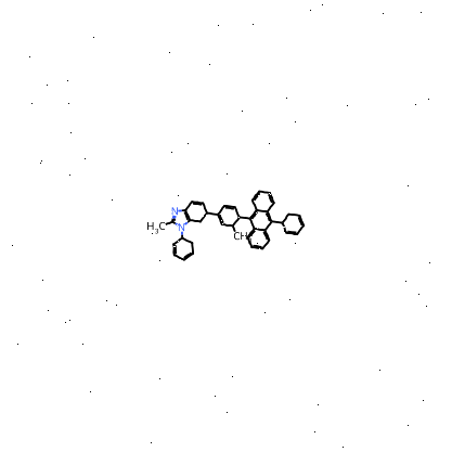 Cc1nc2c(n1C1C=CC=CC1)CC(C1=CC(C)C(c3c4ccccc4c(C4C=CC=CC4)c4ccccc34)C=C1)C=C2